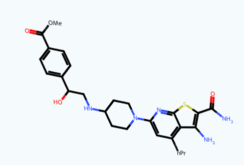 CCCc1cc(N2CCC(NCC(O)c3ccc(C(=O)OC)cc3)CC2)nc2sc(C(N)=O)c(N)c12